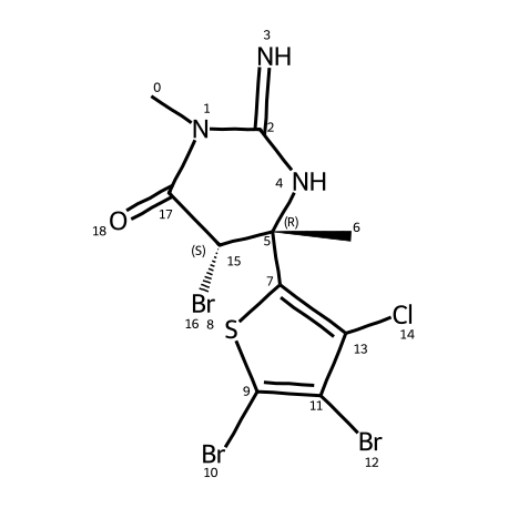 CN1C(=N)N[C@](C)(c2sc(Br)c(Br)c2Cl)[C@H](Br)C1=O